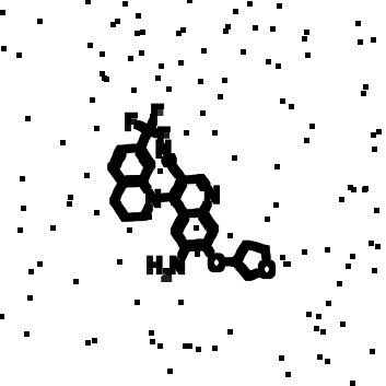 N#Cc1cnc2cc(OC3CCOC3)c(N)cc2c1N1CCCc2ccc(C(F)(F)F)cc21